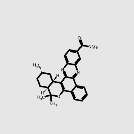 CNC(=O)c1ccc2nc3c4c(c5ccccc5c3nc2c1)OC(C)(C)[C@H]1CC[C@H](C)C[C@H]41